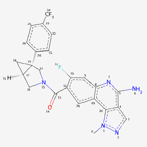 Cn1ncc2c(N)nc3cc(F)c(C(=O)N4C[C@H]5C[C@@]5(c5ccc(C(F)(F)F)cc5)C4)cc3c21